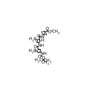 CCOC(=O)c1csc(NC(=O)c2cc(NC(=O)c3cc(NC(=O)OC(C)(C)C)cn3C)cn2C)n1